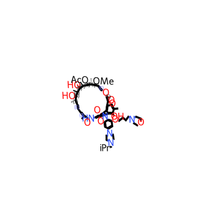 CO[C@H]1/C=C/O[C@@]2(C)Oc3c(C)c(O)c4c(=O)c(c5oc6cc(N7CCN(CC(C)C)CC7)cc(OCCCCN7CCOCC7)c6nc-5c4c3C2=O)NC(=O)/C(C)=C\C=C\[C@H](C)[C@H](O)[C@@H](C)[C@@H](O)[C@@H](C)[C@H](OC(C)=O)[C@@H]1C